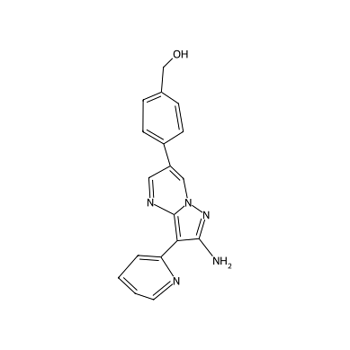 Nc1nn2cc(-c3ccc(CO)cc3)cnc2c1-c1ccccn1